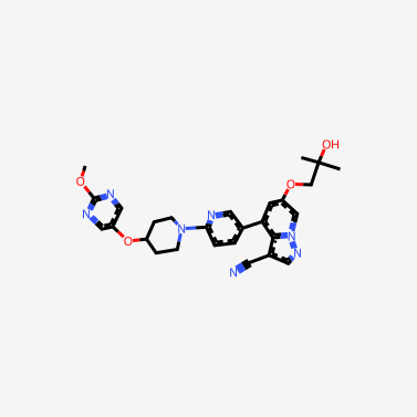 COc1ncc(OC2CCN(c3ccc(-c4cc(OCC(C)(C)O)cn5ncc(C#N)c45)cn3)CC2)cn1